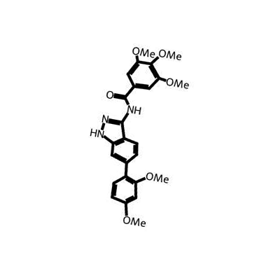 COc1ccc(-c2ccc3c(NC(=O)c4cc(OC)c(OC)c(OC)c4)n[nH]c3c2)c(OC)c1